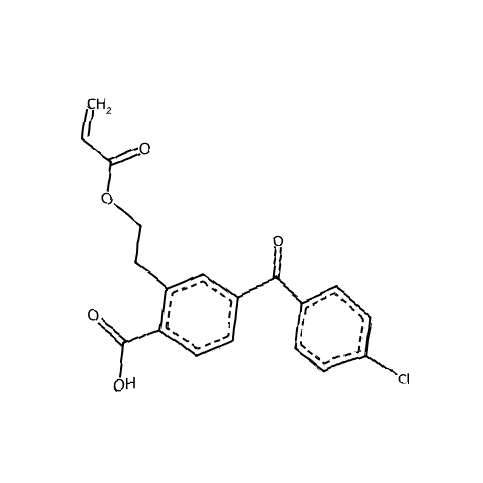 C=CC(=O)OCCc1cc(C(=O)c2ccc(Cl)cc2)ccc1C(=O)O